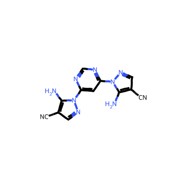 N#Cc1cnn(-c2cc(-n3ncc(C#N)c3N)ncn2)c1N